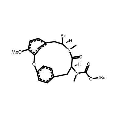 COc1ccc2cc1Oc1ccc(cc1)C[C@H](N(C)C(=O)OC(C)(C)C)C(=O)N(C)[C@H](C(C)=O)C2